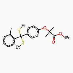 CCSC(SCC)(c1ccc(OC(C)(C)C(=O)OC(C)C)cc1)c1ccccc1C